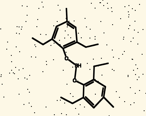 CCc1cc(C)cc(CC)c1OBOc1c(CC)cc(C)cc1CC